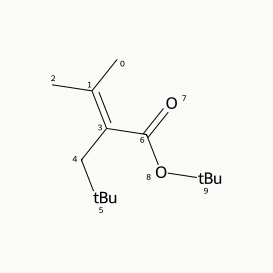 CC(C)=C(CC(C)(C)C)C(=O)OC(C)(C)C